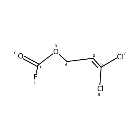 O=C(F)OCC=C(Cl)Cl